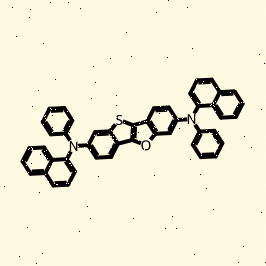 c1ccc(N(c2ccc3c(c2)oc2c4ccc(N(c5ccccc5)c5cccc6ccccc56)cc4sc32)c2cccc3ccccc23)cc1